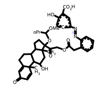 CCCC(OC)OC1(C(=O)COC(=O)Cc2ccccc2/N=N/c2ccc(O)c(C(=O)O)c2)CCC2C3CCC4=CC(=O)C=CC4(C)C3C(O)CC21C